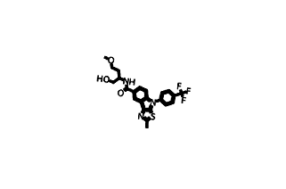 COCCC(CO)NC(=O)c1ccc2c(c1)c1nc(C)sc1n2-c1ccc(C(F)(F)F)cc1